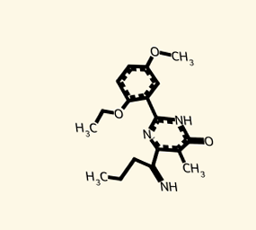 CCCC(=N)c1nc(-c2cc(OC)ccc2OCC)[nH]c(=O)c1C